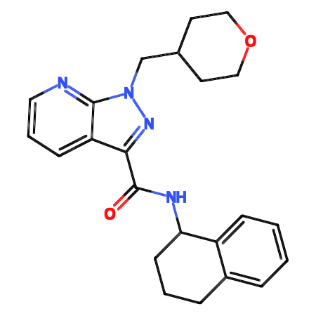 O=C(NC1CCCc2ccccc21)c1nn(CC2CCOCC2)c2ncccc12